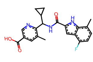 Cc1cc(C(=O)O)cnc1C(NC(=O)c1cc2c(F)ccc(C)c2[nH]1)C1CC1